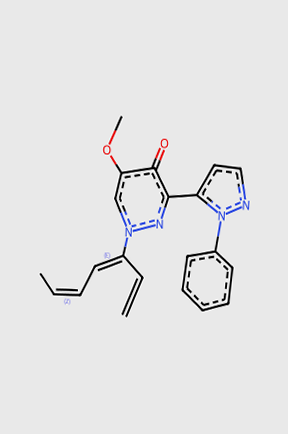 C=C/C(=C\C=C/C)n1cc(OC)c(=O)c(-c2ccnn2-c2ccccc2)n1